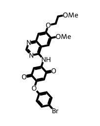 COCCOc1cc2ncnc(NC3=CC(=O)C(Oc4ccc(Br)cc4)=CC3=O)c2cc1OC